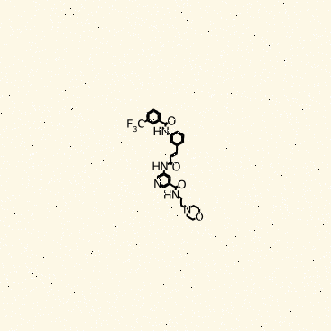 O=C(C=Cc1cccc(NC(=O)c2cccc(C(F)(F)F)c2)c1)Nc1cncc(C(=O)NCCN2CCOCC2)c1